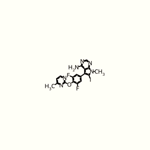 Cc1ccnc(Oc2c(F)cc(-c3c(I)n(C)c4ncnc(N)c34)cc2F)n1